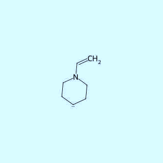 C=CN1CC[C]CC1